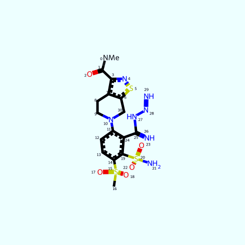 CNC(=O)c1nsc2c1CCN(c1ccc(S(C)(=O)=O)c(S(N)(=O)=O)c1C(=N)NN=N)C2